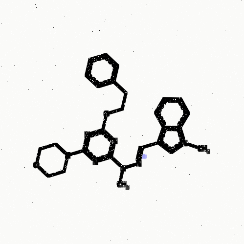 CN(/N=C/c1cn(C)c2ccccc12)c1nc(OCCc2ccccc2)nc(N2CCOCC2)n1